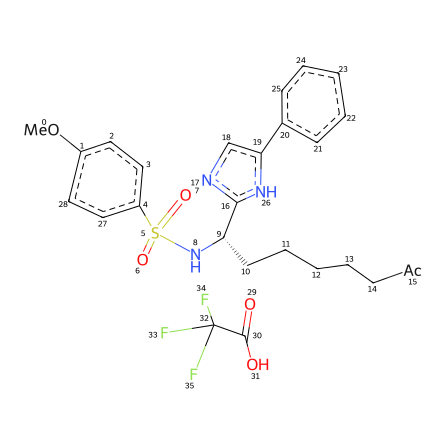 COc1ccc(S(=O)(=O)N[C@@H](CCCCCC(C)=O)c2ncc(-c3ccccc3)[nH]2)cc1.O=C(O)C(F)(F)F